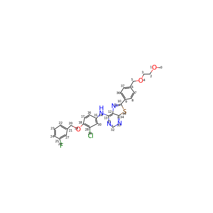 COCCOCc1ccc(-c2nc3c(Nc4ccc(OCc5cccc(F)c5)c(Cl)c4)ncnc3s2)cc1